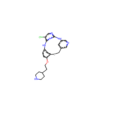 Clc1cnc2nc1Nc1ccc(OCCC3CCNCC3)c(c1)CCc1cncc(c1)N2